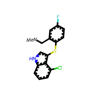 CNCc1cc(F)ccc1Sc1c[nH]c2cccc(Cl)c12